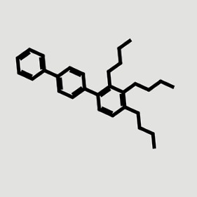 CCCCc1ccc(-c2ccc(-c3ccccc3)cc2)c(CCCC)c1CCCC